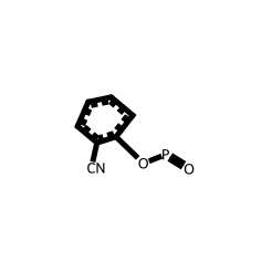 N#Cc1ccccc1OP=O